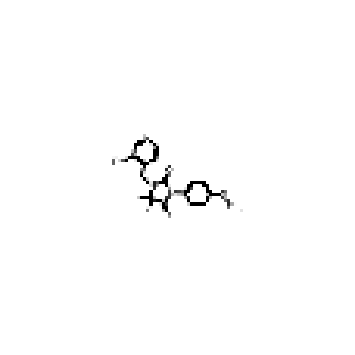 CC(C)c1cnccc1CN1C(=O)N(c2ccc(SC(F)(F)F)cc2)C(=O)C1(C)C